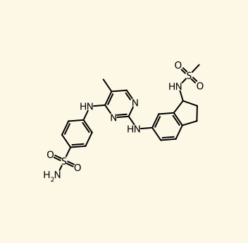 Cc1cnc(Nc2ccc3c(c2)C(NS(C)(=O)=O)CC3)nc1Nc1ccc(S(N)(=O)=O)cc1